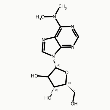 CN(C)c1ncnc2c1ncn2[C@@H]1O[C@H](CO)[C@H](O)C1O